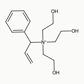 C=CC(c1ccccc1)[N+](CCO)(CCO)CCO